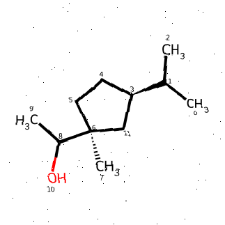 CC(C)[C@@H]1CC[C@](C)(C(C)O)C1